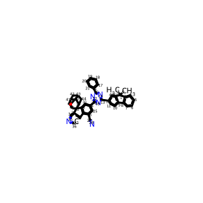 CC1(C)c2ccccc2-c2ccc(-c3nc(-c4ccccc4)nc(-c4cc(C#N)c5c(c4)C4(c6cnccc6-5)C5CC6CC(C5)CC4C6)n3)cc21